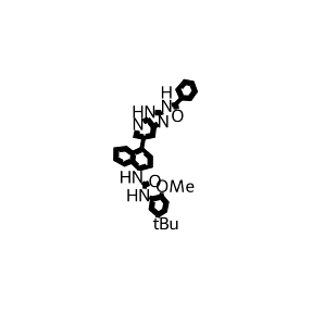 COc1ccc(C(C)(C)C)cc1NC(=O)Nc1ccc(-c2cnc3[nH]c(NC(=O)c4ccccc4)nc3c2)c2ccccc12